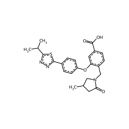 CC1CC(=O)N(Cc2ccc(C(=O)O)cc2Oc2ccc(-c3nnc(C(C)C)s3)cc2)C1